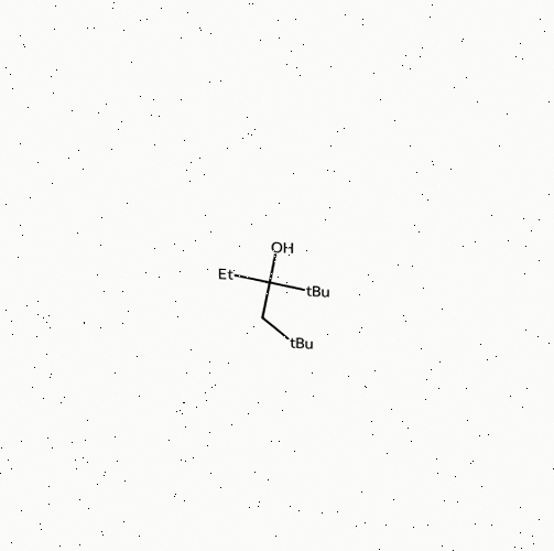 CCC(O)(CC(C)(C)C)C(C)(C)C